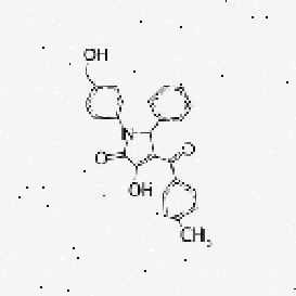 Cc1ccc(C(=O)C2=C(O)C(=O)N(c3ccc(CO)cc3)C2c2ccccc2)cc1